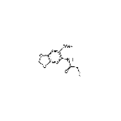 COc1cc2c(cc1NC(=O)CCl)OCO2